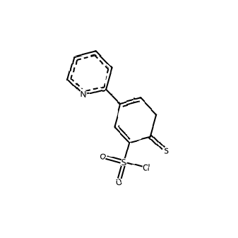 O=S(=O)(Cl)C1=CC(c2ccccn2)=CCC1=S